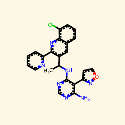 CC(Nc1ncnc(N)c1-c1ccon1)c1cc2cccc(Cl)c2nc1-c1ccccn1